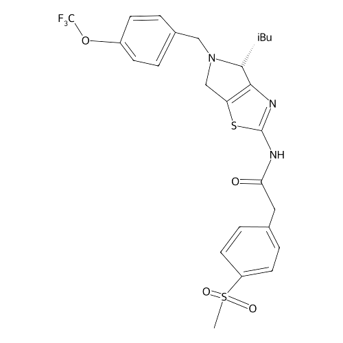 CC[C@@H](C)C1c2nc(NC(=O)Cc3ccc(S(C)(=O)=O)cc3)sc2CN1Cc1ccc(OC(F)(F)F)cc1